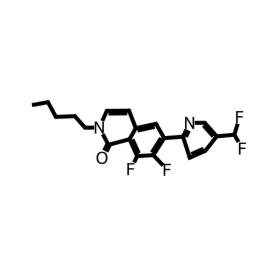 CCCCCn1ccc2cc(-c3ccc(C(F)F)cn3)c(F)c(F)c2c1=O